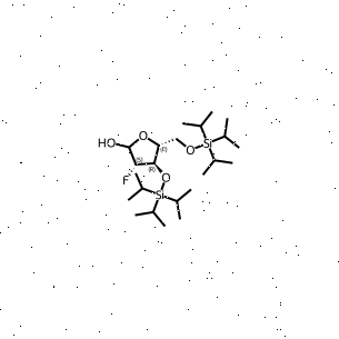 CC(C)[Si](OC[C@H]1OC(O)[C@@H](F)[C@@H]1O[Si](C(C)C)(C(C)C)C(C)C)(C(C)C)C(C)C